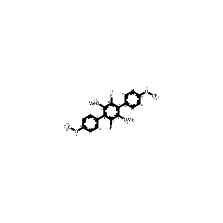 COc1c(F)c(-c2ccc(OC(F)(F)F)cc2)c(OC)c(F)c1-c1ccc(OC(F)(F)F)cc1